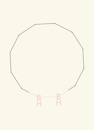 B1BCCCCCCCCCC1